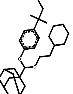 CCC(C)(C)c1ccc(OC(OCCC2CCCCC2)C23CC4CC(CC(C4)C2)C3)cc1